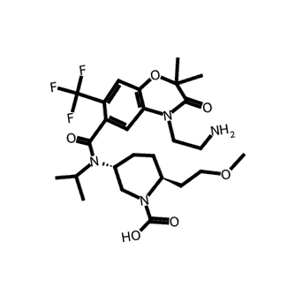 COCC[C@@H]1CC[C@@H](N(C(=O)c2cc3c(cc2C(F)(F)F)OC(C)(C)C(=O)N3CCN)C(C)C)CN1C(=O)O